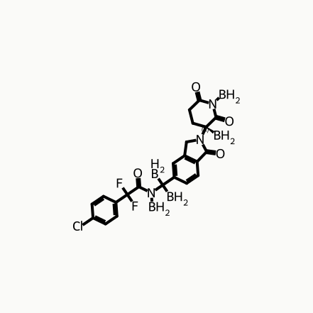 BN1C(=O)CC[C@@](B)(N2Cc3cc(C(B)(B)N(B)C(=O)C(F)(F)c4ccc(Cl)cc4)ccc3C2=O)C1=O